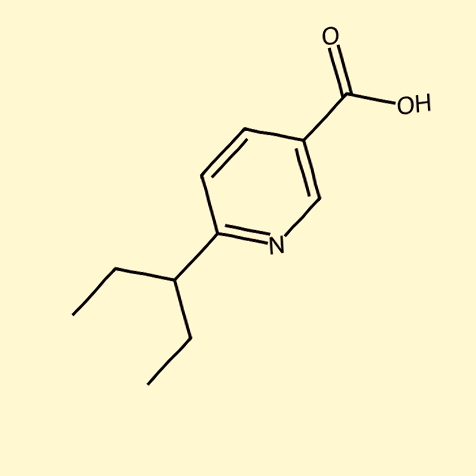 CCC(CC)c1ccc(C(=O)O)cn1